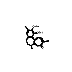 COc1c(C)cc2c(c1OC)-c1ccc(C)c(=O)cc1C(C)CC2